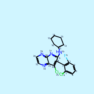 Fc1cccc(Cl)c1-c1c(NC2CCCCC2)nc2nccnc2c1Cl